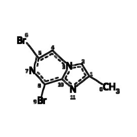 Cc1cn2cc(Br)nc(Br)c2n1